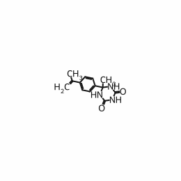 C=C(C)c1ccc(C2(C)NC(=O)NC(=O)N2)cc1